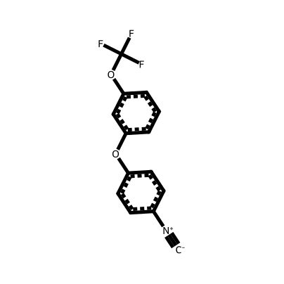 [C-]#[N+]c1ccc(Oc2cccc(OC(F)(F)F)c2)cc1